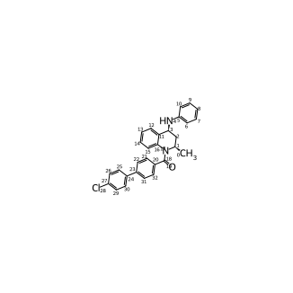 C[C@@H]1C[C@H](Nc2ccccc2)c2ccccc2N1C(=O)c1ccc(-c2ccc(Cl)cc2)cc1